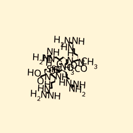 CC(=O)N(C)[C@@H](CCCNC(=N)N)C(=O)N[C@@H](CCCNC(=N)N)C(=O)N(C)[C@@H](CCCNC(=N)N)C(=O)N[C@@H](CCCNC(=N)N)C(=O)N[C@H](CS)C(=O)O